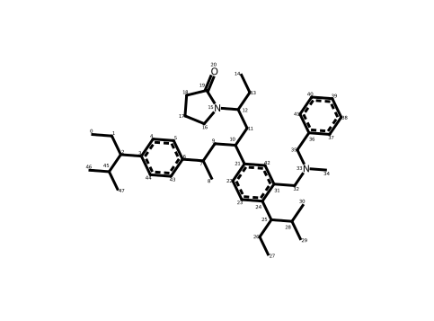 CCC(c1ccc(C(C)CC(CC(CC)N2CCCC2=O)c2ccc(C(CC)C(C)C)c(CN(C)Cc3ccccc3)c2)cc1)C(C)C